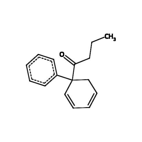 CCCC(=O)C1(c2ccccc2)C=CC=CC1